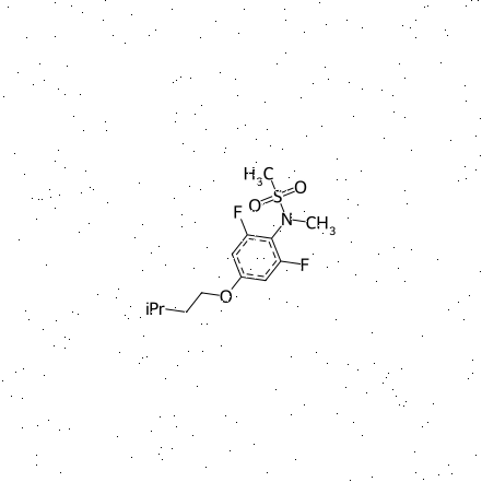 CC(C)CCOc1cc(F)c(N(C)S(C)(=O)=O)c(F)c1